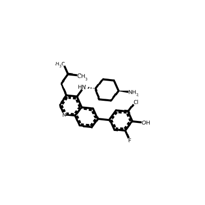 CC(C)Cc1cnc2ccc(-c3cc(F)c(O)c(Cl)c3)cc2c1N[C@H]1CC[C@H](N)CC1